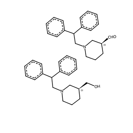 O=C[C@H]1CCCN(CC(c2ccccc2)c2ccccc2)C1.OC[C@H]1CCCN(CC(c2ccccc2)c2ccccc2)C1